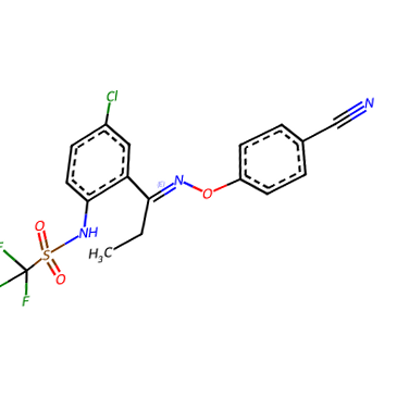 CC/C(=N\Oc1ccc(C#N)cc1)c1cc(Cl)ccc1NS(=O)(=O)C(F)(F)F